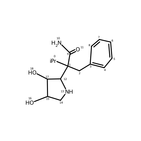 CC(C)C(Cc1ccccc1)(C(N)=O)C1NCC(O)C1O